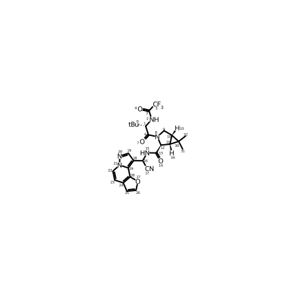 CC(C)(C)[C@H](NC(=O)C(F)(F)F)C(=O)N1C[C@H]2[C@@H]([C@H]1C(=O)NC(C#N)c1cnn3ccc4ccoc4c13)C2(C)C